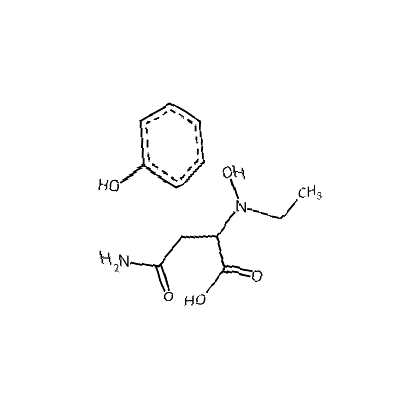 CCN(O)C(CC(N)=O)C(=O)O.Oc1ccccc1